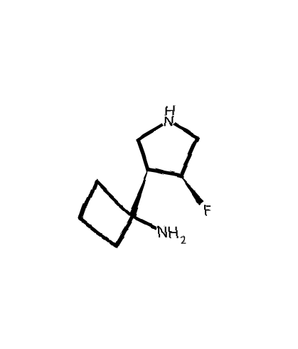 NC1([C@H]2CNC[C@H]2F)CCC1